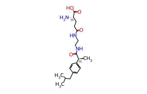 CC(C)Cc1ccc([C@H](C)C(=O)NCCNC(=O)CC[C@H](N)C(=O)O)cc1